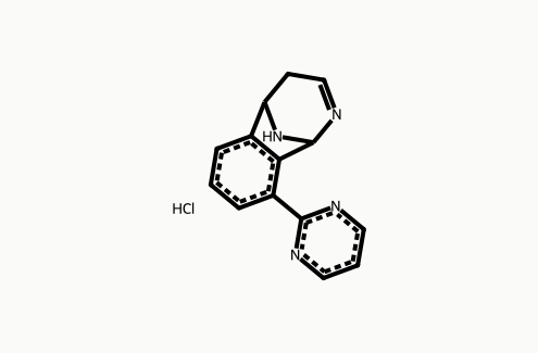 C1=NC2NC(C1)c1cccc(-c3ncccn3)c12.Cl